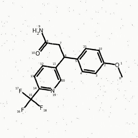 COc1ccc(C(CC(N)=O)c2ccc(C(F)(F)F)nc2)cc1